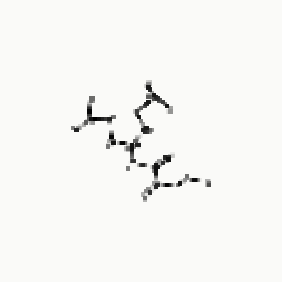 C=C(CCC)C(=O)O[SiH](OCC(C)C)OCC(C)C